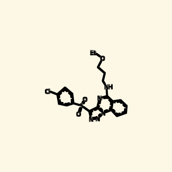 CCOCCCNc1nc2c(S(=O)(=O)c3ccc(Cl)cc3)nnn2c2ccccc12